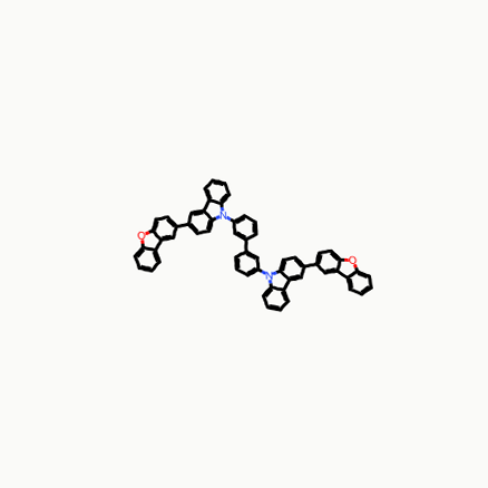 c1cc(-c2cccc(-n3c4ccccc4c4cc(-c5ccc6oc7ccccc7c6c5)ccc43)c2)cc(-n2c3ccccc3c3cc(-c4ccc5oc6ccccc6c5c4)ccc32)c1